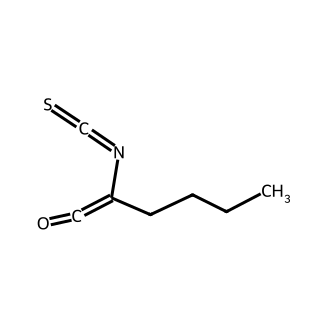 CCCCC(=C=O)N=C=S